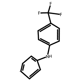 FC(F)(F)c1ccc(Nc2cc[c]cc2)cc1